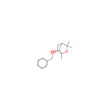 CC1(C)OC2(C)C(O)CC1CC2OCc1ccccc1